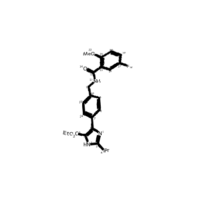 CCOC(=O)c1[nH]c(C(C)C)nc1-c1ccc(CNC(=O)c2cc(F)ccc2OC)cc1